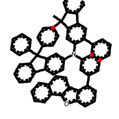 CC1(C)c2ccccc2-c2cc(-c3ccccc3)c(N(c3cccc(-c4cccc5oc6c7ccccc7ccc6c45)c3)c3ccc4c(c3)C(c3ccccc3)(c3ccccc3)c3ccccc3-4)cc21